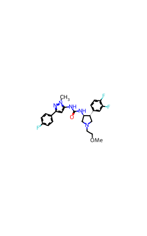 COCCN1C[C@@H](NC(=O)Nc2cc(-c3ccc(F)cc3)nn2C)[C@H](c2ccc(F)c(F)c2)C1